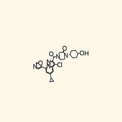 O=C(c1nn2c(-c3cnco3)cc(C3CC3)cc2c1Cl)N1CCN([C@H]2CC[C@H](O)CC2)C(=O)C1